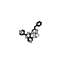 COc1cncc2nc(-c3ccncc3)nc(NC[C@H](N)Cc3ccccc3)c12